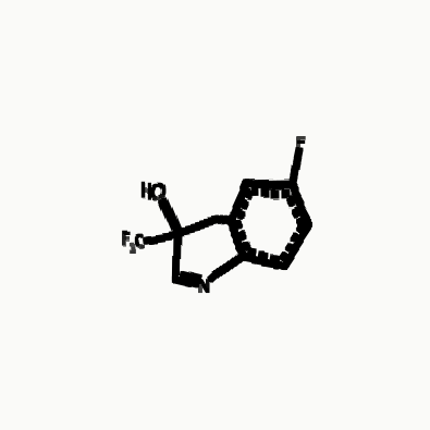 OC1(C(F)(F)F)C=Nc2ccc(F)cc21